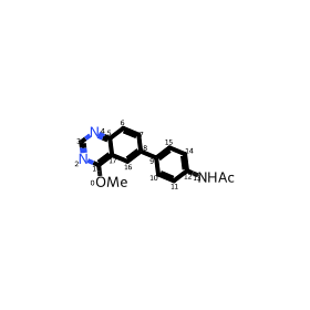 COc1ncnc2ccc(-c3ccc(NC(C)=O)cc3)cc12